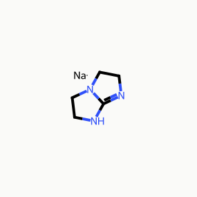 C1CN2CCNC2=N1.[Na]